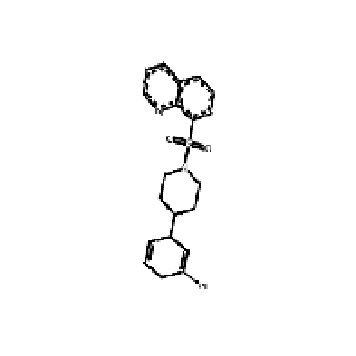 O=S(=O)(c1cccc2cccnc12)N1CCC(C2C=CCC(Cl)=C2)CC1